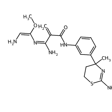 C=C(C(=O)Nc1cccc(C2(C)CCSC(N)=N2)c1)/C(N)=N\C(=C/N)OC